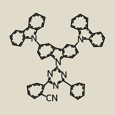 N#Cc1ccccc1-c1nc(-c2ccccc2)nc(-n2c3ccc(-n4c5ccccc5c5ccccc54)cc3c3cc(-n4c5ccccc5c5ccccc54)ccc32)n1